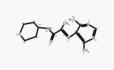 C/C(=N\c1c(C)ncnc1C)C(=O)NC1CCOCC1